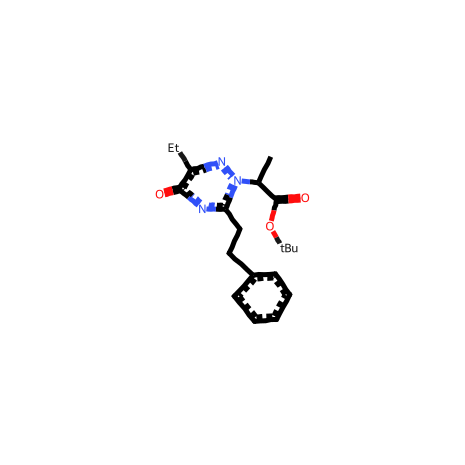 CCc1nn(C(C)C(=O)OC(C)(C)C)c(CCc2ccccc2)nc1=O